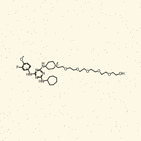 COc1ccc(Nc2nc(NC3CCCCCC3)nc(NC3CC[N+](C)(CCOCCOCCOCCOCCOCCO)CC3)n2)cc1F